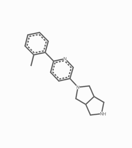 Cc1ccccc1-c1ccc(N2CC3CNCC3C2)cn1